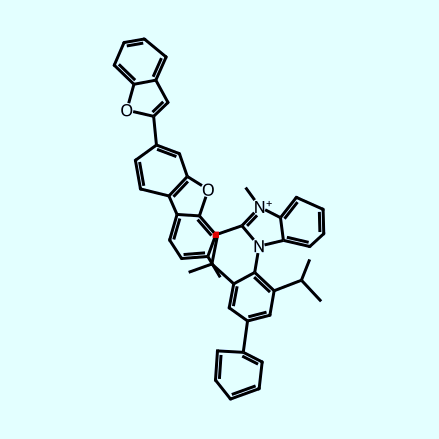 Cc1ccc2c(oc3cc(-c4cc5ccccc5o4)ccc32)c1-c1n(-c2c(C(C)C)cc(-c3ccccc3)cc2C(C)C)c2ccccc2[n+]1C